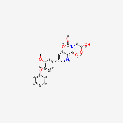 COc1cc(-c2cnc3c(=O)n(CC(=O)O)c(=O)oc3c2)ccc1Oc1ccccc1